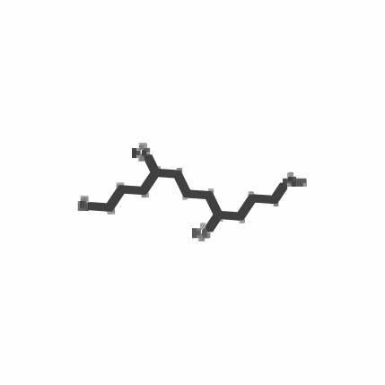 CCCCCCCCCCCCC(C)CCCC(C)CCCC(C)C